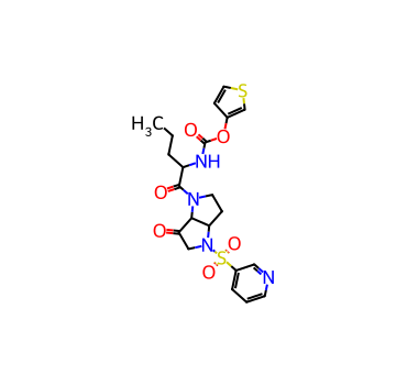 CCCC(NC(=O)Oc1ccsc1)C(=O)N1CCC2C1C(=O)CN2S(=O)(=O)c1cccnc1